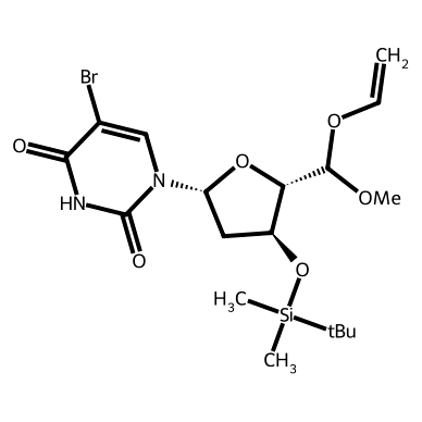 C=COC(OC)[C@H]1O[C@@H](n2cc(Br)c(=O)[nH]c2=O)C[C@@H]1O[Si](C)(C)C(C)(C)C